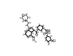 Cc1ccc(S(=O)(=O)Nc2cccc(C(=O)c3cn(CCN4CCOCC4)c4ncnc(N)c34)c2)cc1Cl